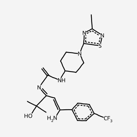 C=C(/N=C(\C=C(/N)c1ccc(C(F)(F)F)cc1)C(C)(C)O)NC1CCN(c2nc(C)ns2)CC1